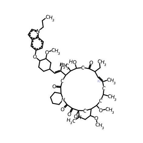 CCCn1ccc2cc(OC3CCC(C=C(C)C4CC(=O)C5CCCCN5C(=O)C(=O)C5(O)CC(C(OC)CC(C)C/C(C)=C/C(CC)C(=O)CC(O)C4C)C(OC)CC5C)CC3OC)ccc21